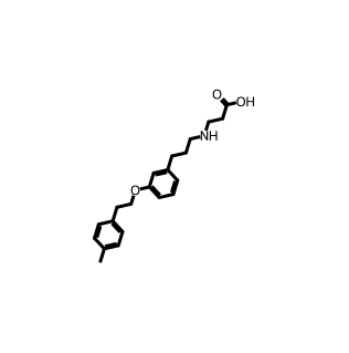 Cc1ccc(CCOc2cccc(CCCNCCC(=O)O)c2)cc1